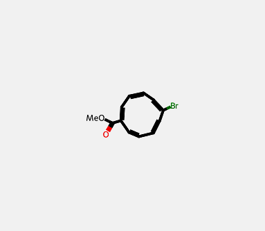 COC(=O)c1ccccc(Br)cccc1